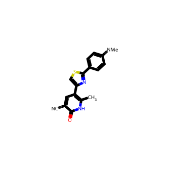 CNc1ccc(-c2nc(-c3cc(C#N)c(=O)[nH]c3C)cs2)cc1